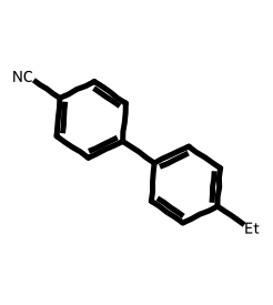 [CH2]Cc1ccc(-c2ccc(C#N)cc2)cc1